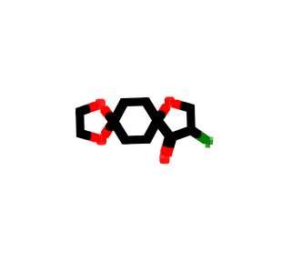 O=C1C(F)COC12CCC1(CC2)OCCO1